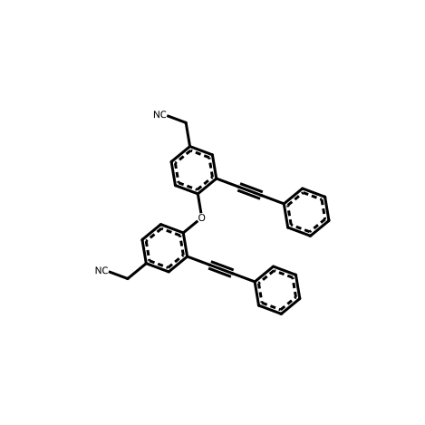 N#CCc1ccc(Oc2ccc(CC#N)cc2C#Cc2ccccc2)c(C#Cc2ccccc2)c1